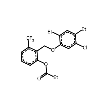 CCC(=O)Oc1cccc(C(F)(F)F)c1COc1cc(Cl)c(CC)cc1CC